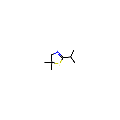 CC(C)C1=NCC(C)(C)S1